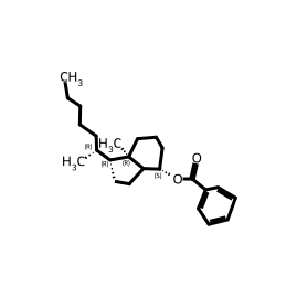 CCCCC[C@@H](C)[C@H]1CCC2[C@@H](OC(=O)c3ccccc3)CCC[C@@]21C